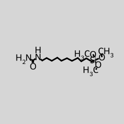 CO[Si](CCCCCCCCCCCNC(N)=O)(OC)OC